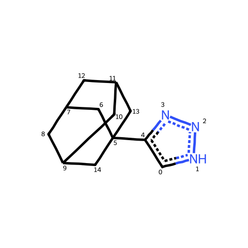 c1[nH]nnc1C12CC3CC(CC(C3)C1)C2